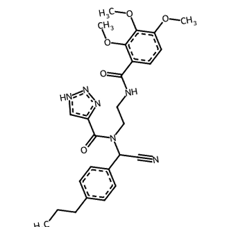 CCCc1ccc(C(C#N)N(CCNC(=O)c2ccc(OC)c(OC)c2OC)C(=O)c2c[nH]nn2)cc1